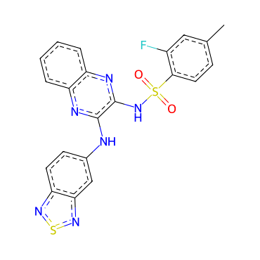 Cc1ccc(S(=O)(=O)Nc2nc3ccccc3nc2Nc2ccc3nsnc3c2)c(F)c1